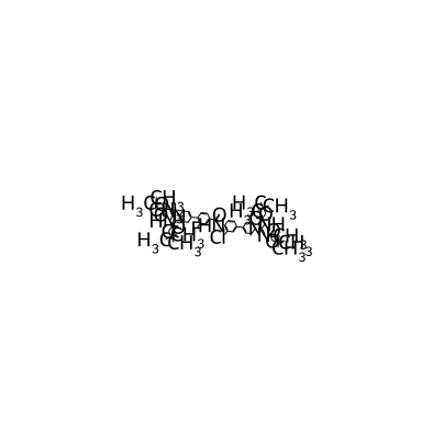 CC(C)(C)OC(=O)/N=C(\NC(=O)OC(C)(C)C)N1CC=C(c2ccc(NC(=O)c3ccc(C4=CCN(/C(=N/C(=O)OC(C)(C)C)NC(=O)OC(C)(C)C)CC4)c(F)c3)c(Cl)c2)CC1